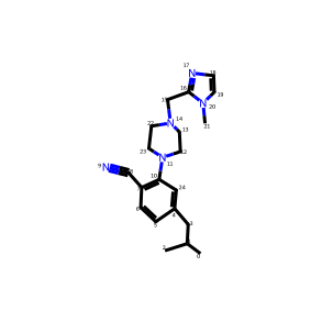 CC(C)Cc1ccc(C#N)c(N2CCN(Cc3nccn3C)CC2)c1